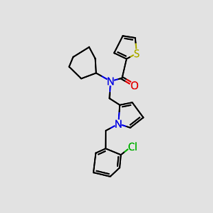 O=C(c1cccs1)N(Cc1cccn1Cc1ccccc1Cl)C1CCCCC1